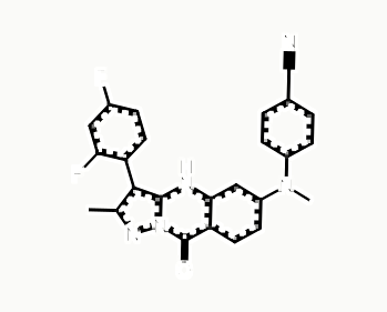 Cc1nn2c(=O)c3ccc(N(C)c4ccc(C#N)cc4)cc3[nH]c2c1-c1ccc(F)cc1F